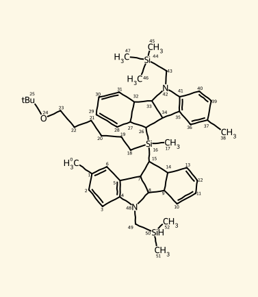 Cc1ccc2c(c1)C1C(C3C=CC=CC3C1[Si](C)(CCCCCCOC(C)(C)C)C1C3C=CC=CC3C3C1c1cc(C)ccc1N3C[Si](C)(C)C)N2C[SiH](C)C